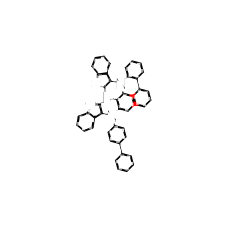 c1ccc(-c2ccc(N3c4cccc5c4B(c4oc6ccccc6c43)c3oc4ccccc4c3N5c3ccccc3-c3ccccc3)cc2)cc1